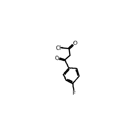 O=C(Cl)CC(=O)c1ccc(F)cc1